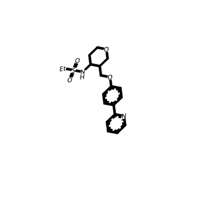 CCS(=O)(=O)NC1CCOCC1COc1ccc(-c2ccccn2)cc1